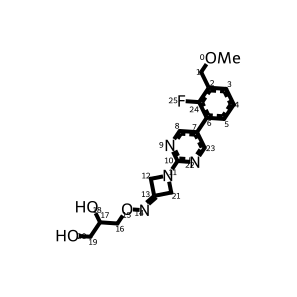 COCc1cccc(-c2cnc(N3CC(=NOCC(O)CO)C3)nc2)c1F